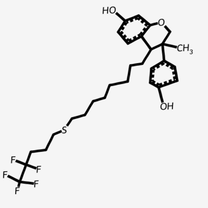 CC1(c2ccc(O)cc2)COc2cc(O)ccc2C1CCCCCCCCSCCCC(F)(F)C(F)(F)F